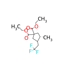 CCOC(=O)C1(C(=O)OCC)CC(CC(F)(F)F)[C@@H](C)C1